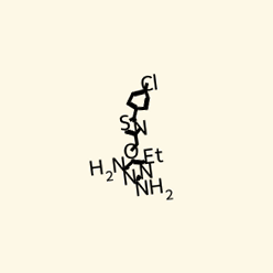 CCc1nc(N)nc(N)c1OCc1csc(-c2ccc(Cl)cc2)n1